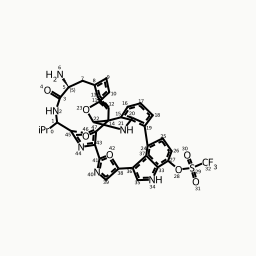 CC(C)C1NC(=O)[C@@H](N)Cc2ccc3c(c2)C24c5cccc(c5NC2O3)-c2ccc(OS(=O)(=O)C(F)(F)F)c3[nH]cc(c23)-c2cnc(o2)-c2nc1oc24